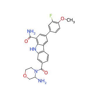 COc1ccc(-c2cc(C(N)=O)c3[nH]c4cc(C(=O)N5CCOCC5N)ccc4c3c2)cc1F